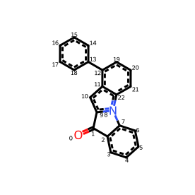 O=C1c2ccccc2-n2c1cc1c(-c3ccccc3)cccc12